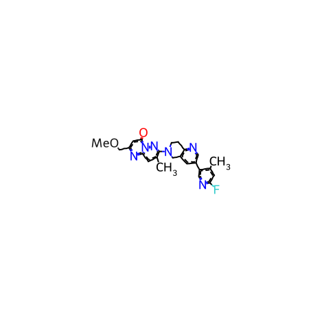 COCc1cc(=O)n2nc(N3CCc4ncc(-c5cnc(F)cc5C)cc4C3)c(C)cc2n1